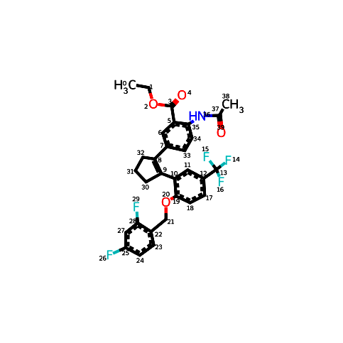 CCOC(=O)c1cc(C2=C(c3cc(C(F)(F)F)ccc3OCc3ccc(F)cc3F)CCC2)ccc1NC(C)=O